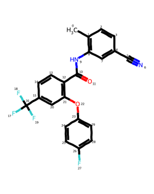 Cc1ccc(C#N)cc1NC(=O)c1ccc(C(F)(F)F)cc1Oc1ccc(F)cc1